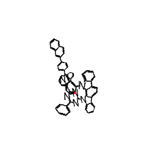 c1ccc(-c2nc(-c3ccccc3)nc(-n3c4ccccc4c4ccc5c6ccccc6n(-c6cccc7nc(-c8ccc(-c9ccc%10ccccc%10c9)cc8)oc67)c5c43)n2)cc1